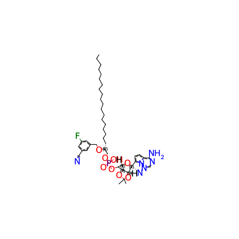 CCCCCCCCCCCCCCCCCCC[C@H](COP(=O)(O)OC1[C@H]2O[C@@](C#N)(c3ccc4c(N)ncnn34)[C@@H]3OC(C)(C)O[C@]123)OCc1cc(F)cc(C#N)c1